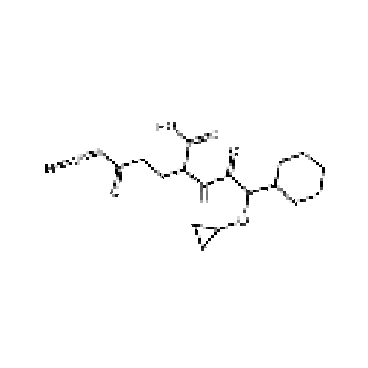 [N-]=[N+]=CC(=O)CCC(NC(=O)C(OC1CC1)C1CCCCC1)C(=O)O